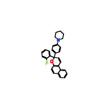 Fc1ccccc1C1(c2ccc(N3CCCCC3)cc2)C=Cc2c(ccc3ccccc23)O1